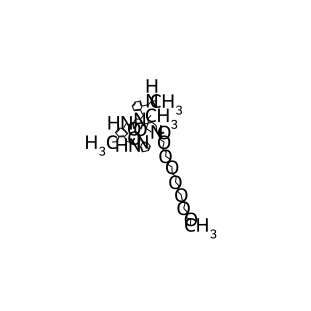 CCc1ccc(NC(=O)CN(Cc2ccccc2CNC)C(=O)C2(CC)CCN(C(=O)COCCOCCOCCOCCOCCOCCOC)CC2)cc1CC(=O)Nc1ccccn1